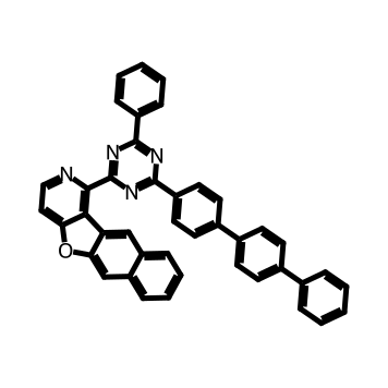 c1ccc(-c2ccc(-c3ccc(-c4nc(-c5ccccc5)nc(-c5nccc6oc7cc8ccccc8cc7c56)n4)cc3)cc2)cc1